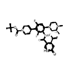 C[C@H]1CN(c2cc(F)c(C3=CCN(C(=O)OC(C)(C)C)CC3)c(F)c2NC(=O)c2c[nH]c(=O)cc2C(F)F)CCN1C